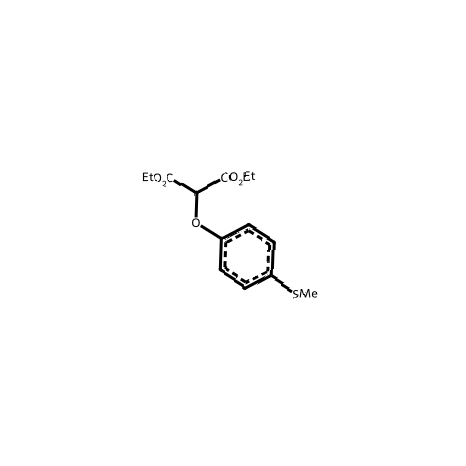 CCOC(=O)C(Oc1ccc(SC)cc1)C(=O)OCC